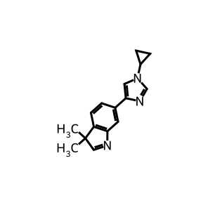 CC1(C)C=Nc2cc(-c3cn(C4CC4)cn3)ccc21